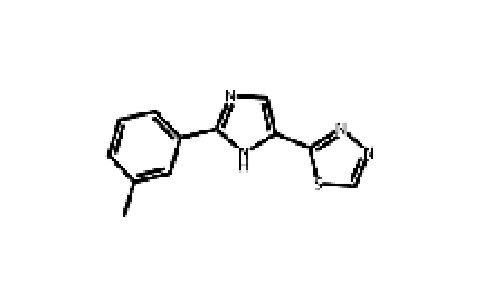 Cc1cccc(-c2ncc(-c3nncs3)[nH]2)c1